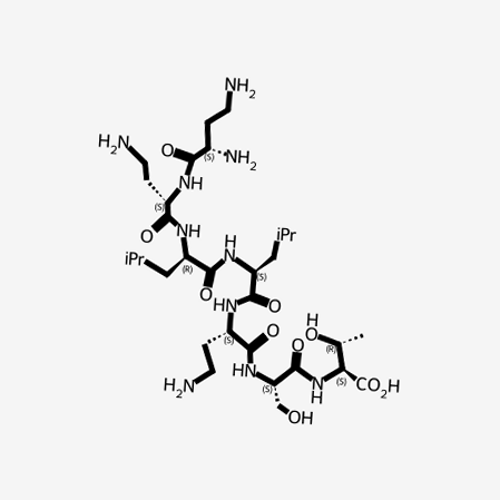 CC(C)C[C@H](NC(=O)[C@@H](CC(C)C)NC(=O)[C@H](CCN)NC(=O)[C@@H](N)CCN)C(=O)N[C@@H](CCN)C(=O)N[C@@H](CO)C(=O)N[C@H](C(=O)O)[C@@H](C)O